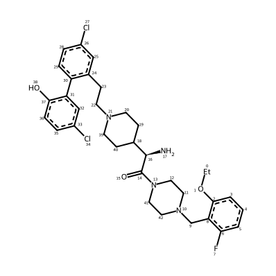 CCOc1cccc(F)c1CN1CCN(C(=O)[C@H](N)C2CCN(CCc3cc(Cl)ccc3-c3cc(Cl)ccc3O)CC2)CC1